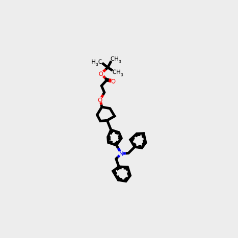 CC(C)(C)OC(=O)CCOC1CCC(c2ccc(N(Cc3ccccc3)Cc3ccccc3)cc2)CC1